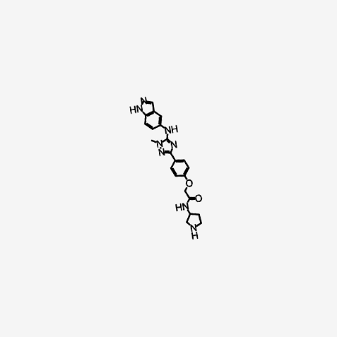 Cn1nc(-c2ccc(OCC(=O)NC3CCNC3)cc2)nc1Nc1ccc2[nH]ncc2c1